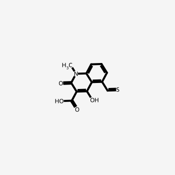 Cn1c(=O)c(C(=O)O)c(O)c2c(C=S)cccc21